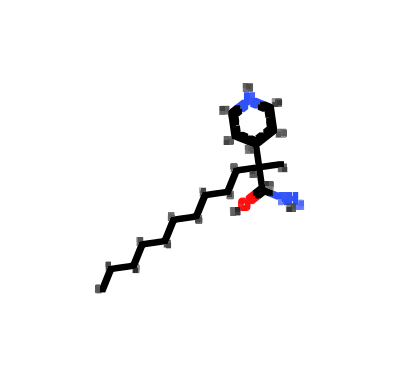 CCCCCCCCCCC(C)(C(N)=O)c1ccncc1